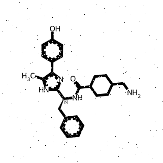 Cc1[nH]c([C@H](Cc2ccccc2)NC(=O)C2CCC(CN)CC2)nc1-c1ccc(O)cc1